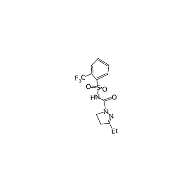 CCC1=NN(C(=O)NS(=O)(=O)c2ccccc2C(F)(F)F)CC1